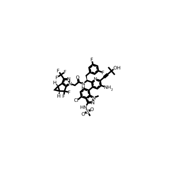 Cn1nc(NS(C)(=O)=O)c2c(Cl)ccc(-c3cc(N)c(C#CC(C)(C)O)nc3[C@H](Cc3cc(F)cc(F)c3)NC(=O)Cn3nc(C(F)(F)F)c4c3C(F)(F)[C@@H]3C[C@H]43)c21